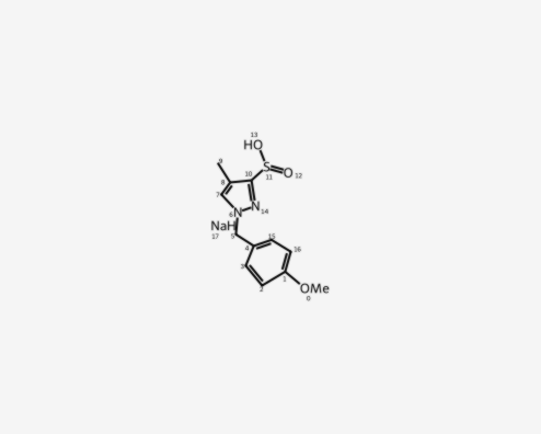 COc1ccc(Cn2cc(C)c(S(=O)O)n2)cc1.[NaH]